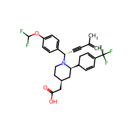 C=C(C)C#C[C@@H](c1ccc(OC(F)F)cc1)N1CC[C@H](CC(=O)O)C[C@@H]1C1C=CC(C(F)(F)F)=CC1